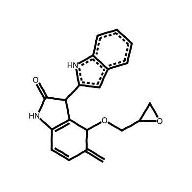 C=C1C=CC2=C(C1OCC1CO1)C(c1cc3ccccc3[nH]1)C(=O)N2